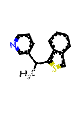 CC(c1cccnc1)c1scc2ccccc12